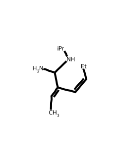 C/C=C(\C=C/CC)C(N)NC(C)C